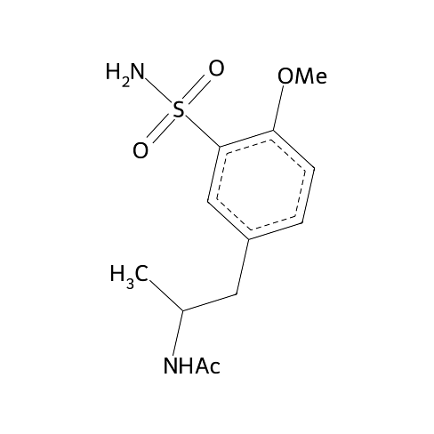 COc1ccc(CC(C)NC(C)=O)cc1S(N)(=O)=O